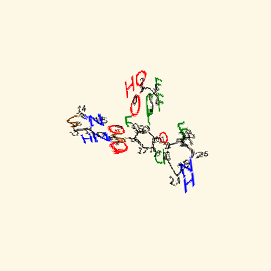 O=C(O)C(F)(F)F.O=S(=O)(Nc1cscn1)c1cc(Cl)c(OC2CCNCC2F)cc1F